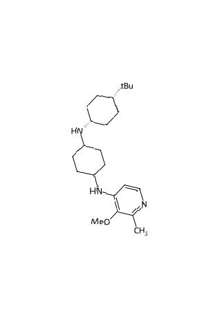 COc1c(NC2CCC(N[C@H]3CC[C@@H](C(C)(C)C)CC3)CC2)ccnc1C